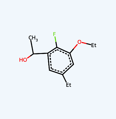 CCOc1cc(CC)cc(C(C)O)c1F